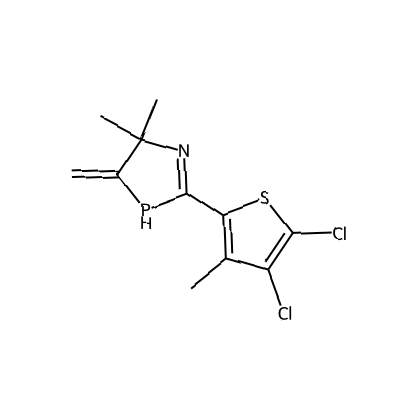 C=C1PC(c2sc(Cl)c(Cl)c2C)=NC1(C)C